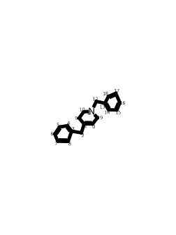 C1=C(Cc2ccccc2)CCN(Cc2ccccc2)C1